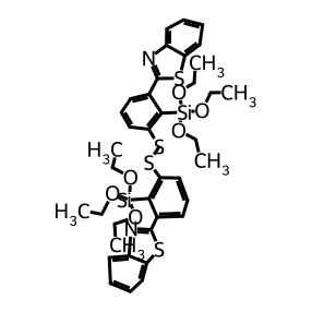 CCO[Si](OCC)(OCC)c1c(SSc2cccc(-c3nc4ccccc4s3)c2[Si](OCC)(OCC)OCC)cccc1-c1nc2ccccc2s1